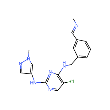 C/N=C/c1cccc(CNc2nc(Nc3cnn(C)c3)ncc2Cl)c1